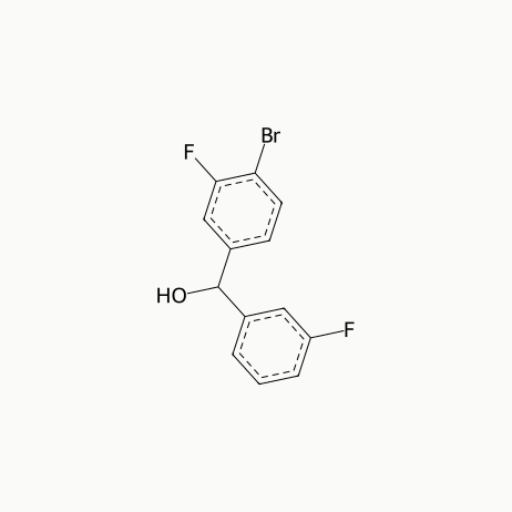 OC(c1cccc(F)c1)c1ccc(Br)c(F)c1